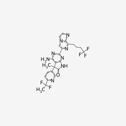 CC(F)(F)c1ccc(C2(C)C(=O)Nc3nc(-c4cn5ccnc5c(CCCC(F)(F)F)n4)nc(N)c32)cn1